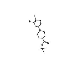 CC(C)(C)OC(=O)N1CCN(c2ccc(F)c(F)c2)CC1